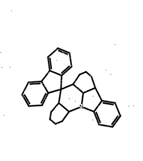 c1ccc2c(c1)-c1ccccc1C21C2CCCCC2N2c3ccccc3C3CCCC1C32